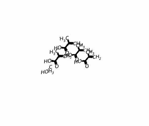 C=C(C)C(=O)O.C=C(C)C(=O)O.C=C(C)C(=O)O.C=C(C)C(=O)O.CO